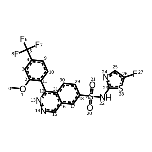 COc1cc(C(F)(F)F)ccc1-c1nncc2cc(S(=O)(=O)Nc3ncc(F)s3)ccc12